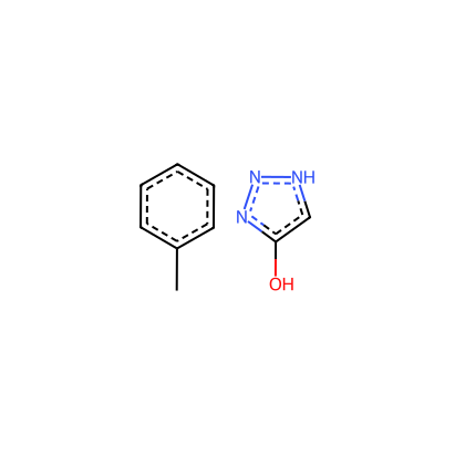 Cc1ccccc1.Oc1c[nH]nn1